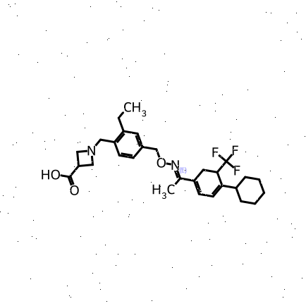 CCc1cc(CO/N=C(\C)C2=CC=C(C3CCCCC3)C(C(F)(F)F)C2)ccc1CN1CC(C(=O)O)C1